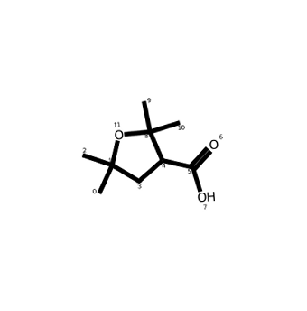 CC1(C)CC(C(=O)O)C(C)(C)O1